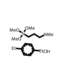 CCc1ccc(CC)cc1.CNCCC[Si](OC)(OC)OC.Cl